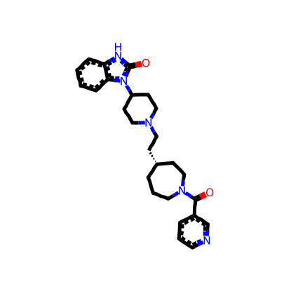 O=C(c1cccnc1)N1CCC[C@H](CCN2CCC(n3c(=O)[nH]c4ccccc43)CC2)CC1